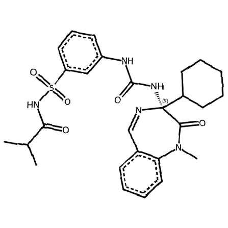 CC(C)C(=O)NS(=O)(=O)c1cccc(NC(=O)N[C@@]2(C3CCCCC3)N=Cc3ccccc3N(C)C2=O)c1